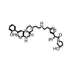 CC(C)C(C(=O)N1CC[C@@H](O)C1)c1cc(CCNCCN2CCN3c4cc(-c5ccccc5O)nnc4NC[C@H]3C2)no1